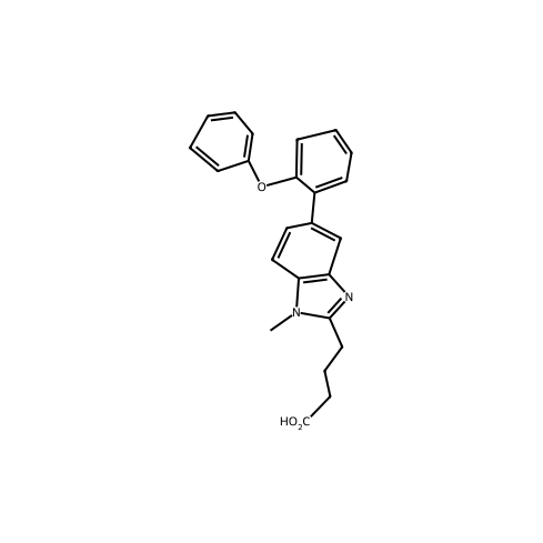 Cn1c(CCCC(=O)O)nc2cc(-c3ccccc3Oc3ccccc3)ccc21